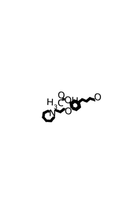 CC(=O)O.O=CCCCc1ccc(OCCCN2CCCCCC2)cc1